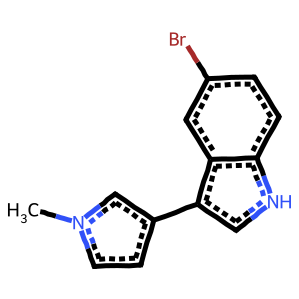 Cn1ccc(-c2c[nH]c3ccc(Br)cc23)c1